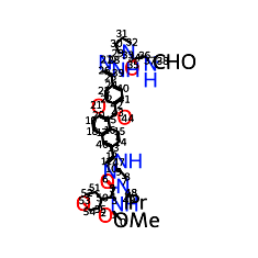 COC(=O)N[C@H](C(=O)N(Cc1ncc(-c2ccc3c(ccc4oc5cc(-c6cnc([C@@H]7CCCN7C(=O)CNC=O)[nH]6)ccc5c(=O)c43)c2)[nH]1)CC(C)C)C1CCOCC1